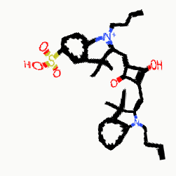 C=CCCN1/C(=C/C2=C(O)C(=C/C3=[N+](CCC=C)c4ccc(S(=O)(=O)O)cc4C3(C)C)/C2=O)C(C)(C)c2ccccc21